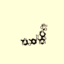 Cc1ncc(Oc2ccc(Nc3ncnc4sc5c(c34)CCN(C(=O)OC(C)(C)C)C5)cc2C)cn1